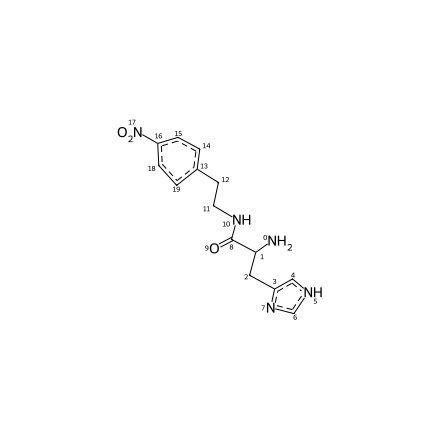 NC(Cc1c[nH]cn1)C(=O)NCCc1ccc([N+](=O)[O-])cc1